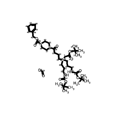 CC(C)(C)OC(=O)C[N+](CCCNC(=O)OC(C)(C)C)(CCCNC(=O)OC(C)(C)C)CCCC(=O)N1CCN(C(=O)OCc2ccccc2)CC1.O=C[O-]